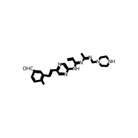 C=C/C(=N\C(C)=N/CN1CCNCC1)Nc1cnc(/C=C/c2cc(C=O)ccc2C)cn1